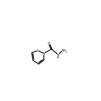 NNC(=O)N1C=CC=CS1